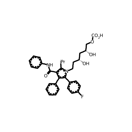 CC(C)c1c(C(=O)Nc2ccccc2)c(-c2ccccc2)c(-c2ccc(F)cc2)n1CC[C@@H](O)C[C@@H](O)COC(=O)O